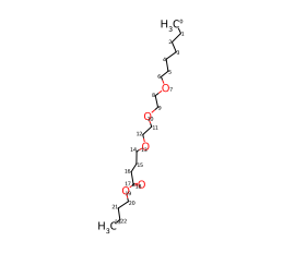 CCCCCCCOCCOCCOCCCC(=O)OCCCC